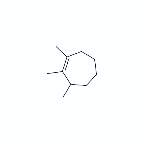 CC1=C(C)C(C)CCCC1